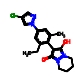 CCc1cc(-n2cc(Cl)cn2)cc(C)c1-c1c(O)n2n(c1=O)CCCC2